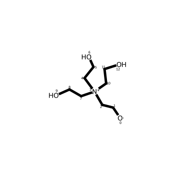 [O]CC[N+](CCO)(CCO)CCO